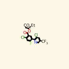 CCOC(=O)C[C@@H](C)OC(=O)c1cc(-c2ncc(C(F)(F)F)cc2Cl)c(F)cc1Cl